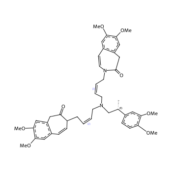 COc1ccc([C@@H](C)CN(C/C=C\CC2C=Cc3cc(OC)c(OC)cc3CC2=O)C/C=C\CN2C=Cc3cc(OC)c(OC)cc3CC2=O)cc1OC